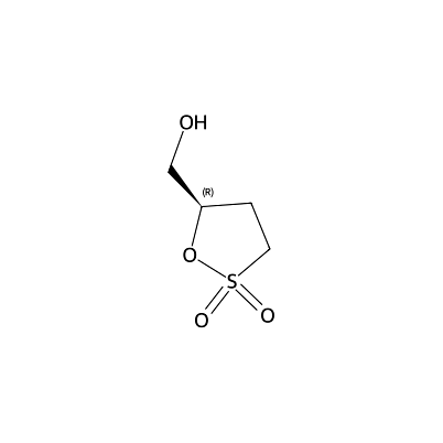 O=S1(=O)CC[C@H](CO)O1